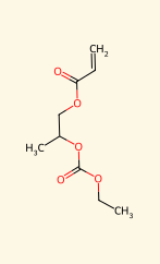 C=CC(=O)OCC(C)OC(=O)OCC